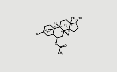 CC(=O)OC1C[C@@H]2[C@@H](CC[C@]3(C)C(O)CC[C@@H]23)[C@@]2(C)CCC(O)CC12